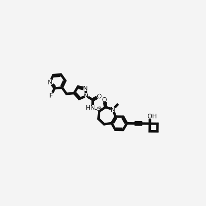 CN1C(=O)[C@@H](NC(=O)n2cc(Cc3cccnc3F)cn2)CCc2ccc(C#CC3(O)CCC3)cc21